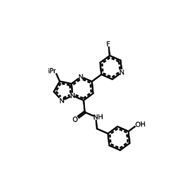 CC(C)c1cnn2c(C(=O)NCc3cccc(O)c3)cc(-c3cncc(F)c3)nc12